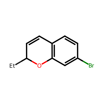 CCC1C=Cc2ccc(Br)cc2O1